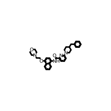 O=C(Nc1ccc(OCCN2CCOCC2)c2ccccc12)c1cccc(N2CCC(Cc3ccccc3)CC2)n1